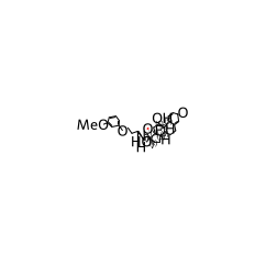 COc1cccc(OCCCNC(=O)[C@@]2(O)[C@H](C)C[C@H]3[C@@H]4CCC5=CC(=O)C=C[C@]5(C)[C@@]4(F)[C@@H](O)C[C@@]32C)c1